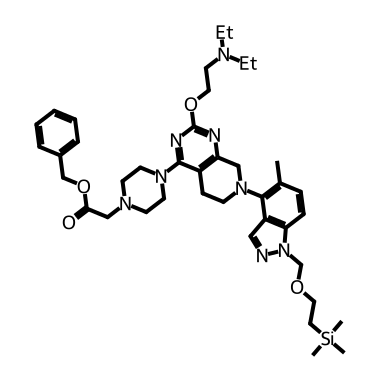 CCN(CC)CCOc1nc2c(c(N3CCN(CC(=O)OCc4ccccc4)CC3)n1)CCN(c1c(C)ccc3c1cnn3COCC[Si](C)(C)C)C2